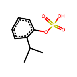 CC(C)c1ccccc1OS(=O)(=O)O